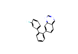 Fc1cccc(-c2ccccc2-c2ccc3cncnc3c2)c1